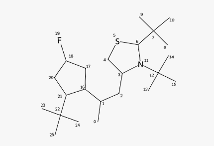 CC(CC1CSC(C(C)(C)C)N1C(C)(C)C)C1CC(F)CC1C(C)(C)C